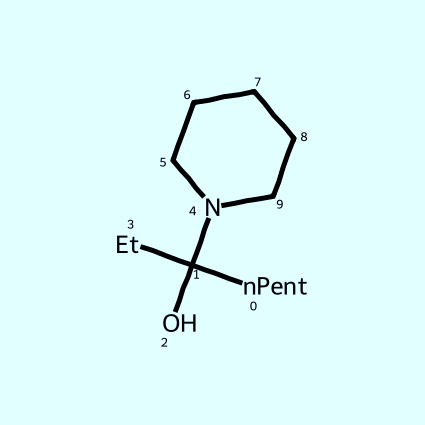 CCCCCC(O)(CC)N1CCCCC1